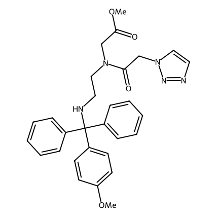 COC(=O)CN(CCNC(c1ccccc1)(c1ccccc1)c1ccc(OC)cc1)C(=O)Cn1ccnn1